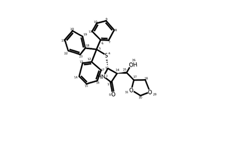 O=C1N[C@H](SC(c2ccccc2)(c2ccccc2)c2ccccc2)[C@H]1C(O)C1COCO1